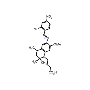 COc1cc2c(cc1/N=N/c1ccc([N+](=O)[O-])cc1C#N)C(C)CC(C)(C)N2CCCC(=O)O